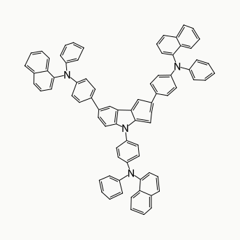 c1ccc(N(c2ccc(-c3ccc4c(c3)c3cc(-c5ccc(N(c6ccccc6)c6cccc7ccccc67)cc5)ccc3n4-c3ccc(N(c4ccccc4)c4cccc5ccccc45)cc3)cc2)c2cccc3ccccc23)cc1